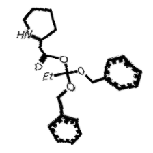 CCC(OCc1ccccc1)(OCc1ccccc1)OC(=O)C1CCCCN1